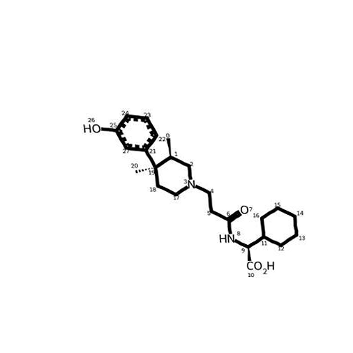 C[C@H]1CN(CCC(=O)N[C@H](C(=O)O)C2CCCCC2)CC[C@@]1(C)c1cccc(O)c1